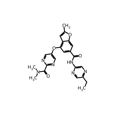 CCc1cnc(NC(=O)c2cc(Oc3cnc(C(=O)N(C)C)nc3)c3cc(C)oc3c2)cn1